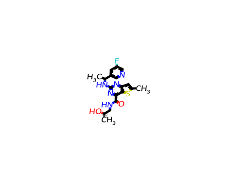 Cc1cc2nc(NC(C)c3cncc(F)c3)nc(C(=O)NC[C@@H](C)O)c2s1